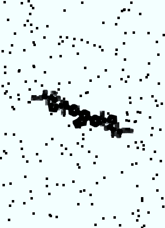 COC(=O)N[C@H](C(=O)N1CCC[C@H]1c1ncc(-c2ccc(-c3ccc(-c4ccc5nc([C@@H]6CCCN6C(=O)[C@@H](NC(=O)OC)C(C)C)[nH]c5c4)c4c3C3CCC3C4)nc2)[nH]1)C(C)C